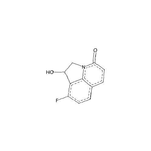 O=c1ccc2ccc(F)c3c2n1C[C]3O